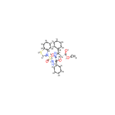 COC(=O)[C@@H]1O[C@@](NS(=O)(=O)N2CSc3ccccc32)(c2ccccc2)N[C@H]1c1ccccc1